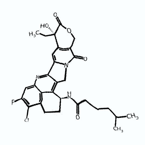 CC[C@@]1(O)C(=O)OCc2c1cc1n(c2=O)Cc2c-1nc1cc(F)c(Cl)c3c1c2[C@@H](NC(=O)CCCC(C)C)CC3